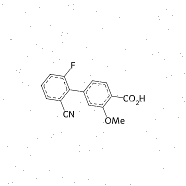 COc1cc(-c2c(F)cccc2C#N)ccc1C(=O)O